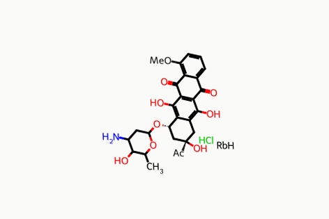 COc1cccc2c1C(=O)c1c(O)c3c(c(O)c1C2=O)C[C@@](O)(C(C)=O)C[C@@H]3OC1CC(N)C(O)C(C)O1.Cl.[RbH]